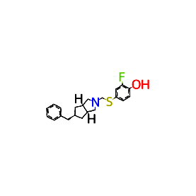 Oc1ccc(SCN2C[C@H]3C[C@@H](Cc4ccccc4)C[C@H]3C2)cc1F